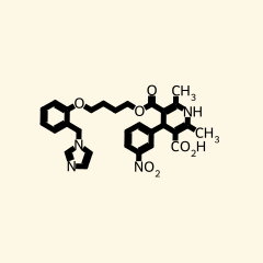 CC1=C(C(=O)O)C(c2cccc([N+](=O)[O-])c2)C(C(=O)OCCCCOc2ccccc2Cn2ccnc2)=C(C)N1